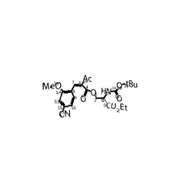 CCOC(=O)[C@H](COC(=O)C(=Cc1ccc(C#N)cc1OC)C(C)=O)NC(=O)OC(C)(C)C